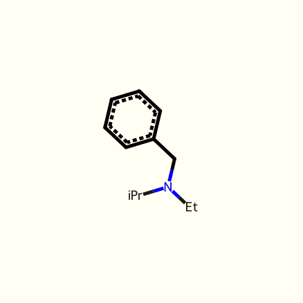 CCN(Cc1ccccc1)C(C)C